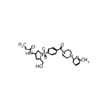 C=CC(=O)NC1CC(CO)N(S(=O)(=O)c2ccc(C(=O)N3CCN(c4cccc(C)n4)CC3)cc2)C1